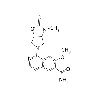 COc1cc2c(N3CC4OC(=O)N(C)C4C3)nccc2cc1C(N)=O